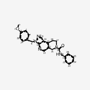 COc1ccc(Cn2ncc3c4c(cnc32)CN(C(=O)Nc2ccccc2)CC4)cc1